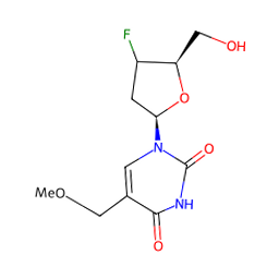 COCc1cn([C@H]2CC(F)[C@@H](CO)O2)c(=O)[nH]c1=O